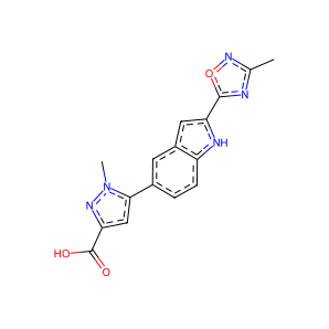 Cc1noc(-c2cc3cc(-c4cc(C(=O)O)nn4C)ccc3[nH]2)n1